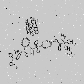 CC(=O)ONC(=O)c1ccccc1NS(=O)(=O)c1ccc(OC(=O)C(C)(C)C)cc1.O.O.O.O.[Na]